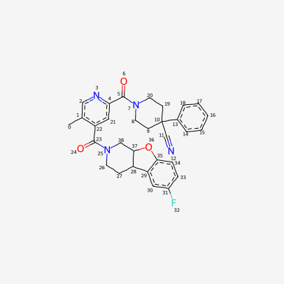 Cc1cnc(C(=O)N2CCC(C#N)(c3ccccc3)CC2)cc1C(=O)N1CCC2c3cc(F)ccc3OC2C1